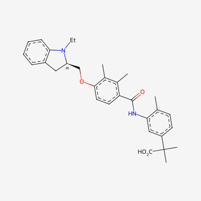 CCN1c2ccccc2C[C@@H]1COc1ccc(C(=O)Nc2cc(C(C)(C)C(=O)O)ccc2C)c(C)c1C